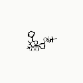 CC(C)(C)C12OOC1(c1cccc(O[Si](C)(C)C(C)(C)C)c1)OC(c1ccccc1)C2(C)C